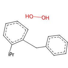 CC(C)c1ccccc1Cc1ccccc1.OO